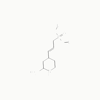 CCOC(=O)C1CC(C=CCP(=O)(OCC)OCC)CCN1